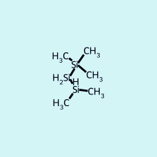 C[SiH](C)[SiH2][Si](C)(C)C